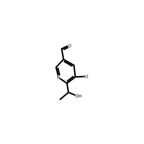 CC(O)c1ncc(C=O)cc1Cl